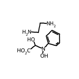 NCCN.O=C(O)C(O)N(O)c1ccccc1